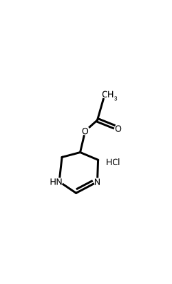 CC(=O)OC1CN=CNC1.Cl